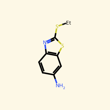 CCSc1nc2ccc(N)cc2s1